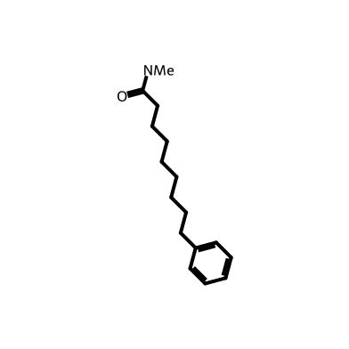 CNC(=O)CCCCCCCCc1ccccc1